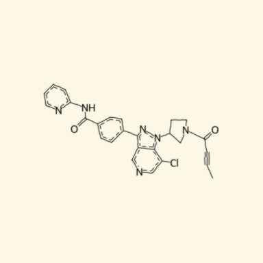 CC#CC(=O)N1CCC(n2nc(-c3ccc(C(=O)Nc4ccccn4)cc3)c3cncc(Cl)c32)C1